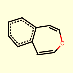 [C]1=COC=Cc2ccccc21